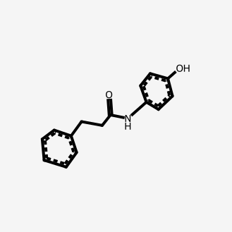 O=C(CCc1ccccc1)Nc1ccc(O)cc1